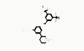 Cc1cc(OCc2cc(C(F)(F)F)cc(C(F)(F)F)c2)cc(C2CCCNC2)c1